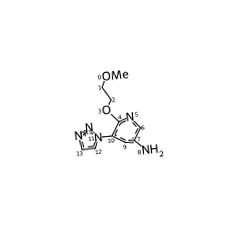 COCCOc1ncc(N)cc1-n1ccnn1